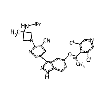 CC(C)NC1(C)CN(c2ncc(-c3n[nH]c4ccc(O[C@H](C)c5c(Cl)cncc5Cl)cc34)cc2C#N)C1